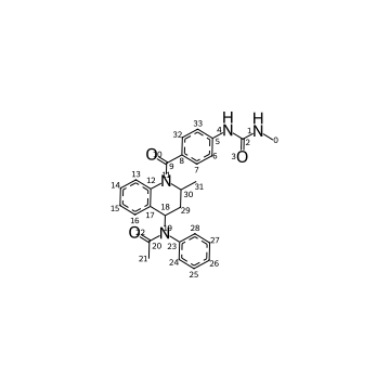 CNC(=O)Nc1ccc(C(=O)N2c3ccccc3C(N(C(C)=O)c3ccccc3)CC2C)cc1